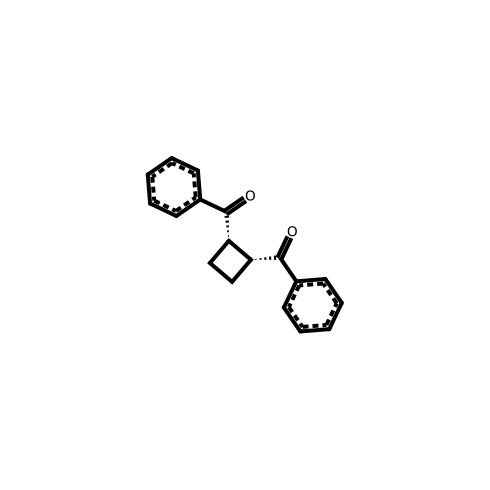 O=C(c1ccccc1)[C@H]1CC[C@H]1C(=O)c1ccccc1